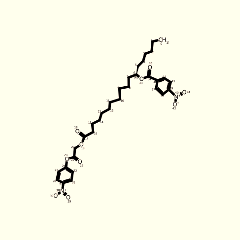 CCCCCC[C@H](CCCCCCCCCCC(=O)OCC(=O)Oc1ccc([N+](=O)[O-])cc1)OC(=O)c1ccc([N+](=O)[O-])cc1